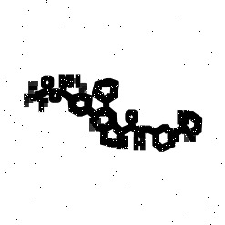 NC(OC(=O)C(F)(F)F)c1ccc(-c2nc3ccnc(C(=O)NCC4CCCN(c5ncccn5)C4)c3cc2-c2ccccc2)cc1